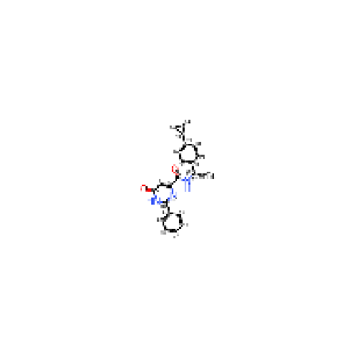 CC(C)(C)[C@@H](NC(=O)c1cc(=O)[nH]c(-c2ccccc2)n1)c1ccc(C2CC2)cc1